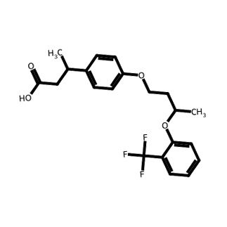 CC(CCOc1ccc(C(C)CC(=O)O)cc1)Oc1ccccc1C(F)(F)F